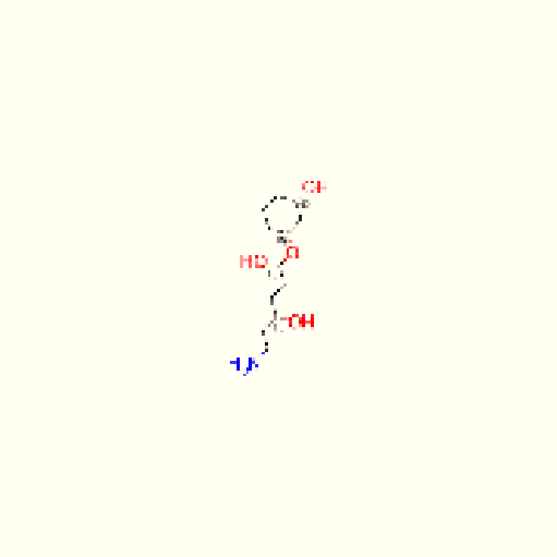 NCC[C@@H](O)CC[C@H](O)O[C@@H]1CCC[C@H](O)C1